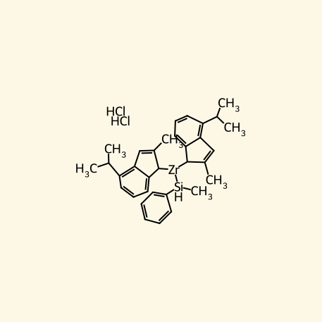 CC1=Cc2c(C(C)C)cccc2[CH]1[Zr]([CH]1C(C)=Cc2c(C(C)C)cccc21)[SiH](C)c1ccccc1.Cl.Cl